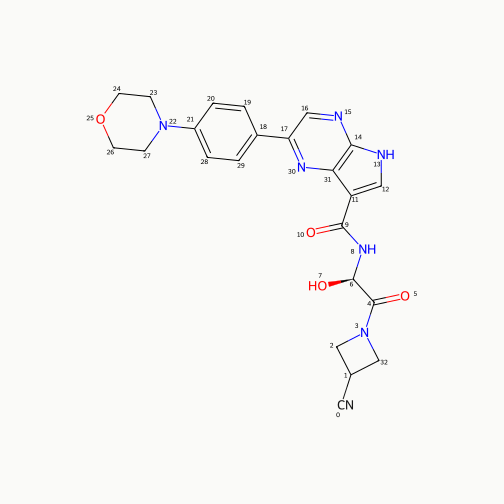 N#CC1CN(C(=O)[C@@H](O)NC(=O)c2c[nH]c3ncc(-c4ccc(N5CCOCC5)cc4)nc23)C1